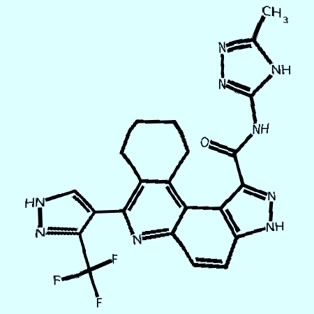 Cc1nnc(NC(=O)c2n[nH]c3ccc4nc(-c5c[nH]nc5C(F)(F)F)c5c(c4c23)CCCC5)[nH]1